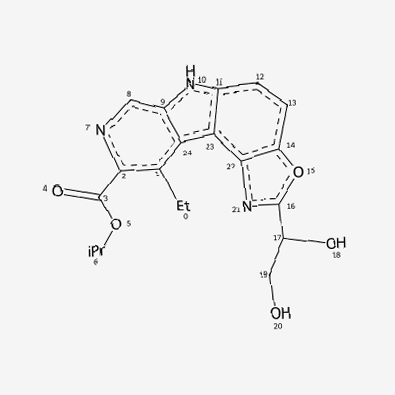 CCc1c(C(=O)OC(C)C)ncc2[nH]c3ccc4oc(C(O)CO)nc4c3c12